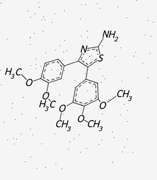 COc1ccc(-c2nc(N)sc2-c2cc(OC)c(OC)c(OC)c2)cc1OC